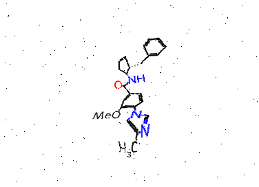 COc1cc(C(=O)N[C@@H]2CCC[C@@H]2Cc2ccccc2)ccc1-n1cnc(C)c1